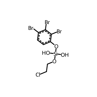 O[Si](O)(OCCCl)Oc1ccc(Br)c(Br)c1Br